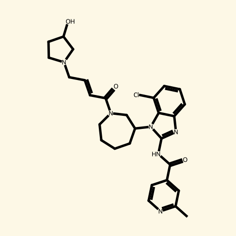 Cc1cc(C(=O)Nc2nc3cccc(Cl)c3n2C2CCCCN(C(=O)C=CCN3CCC(O)C3)C2)ccn1